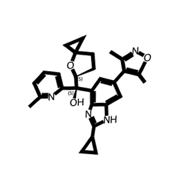 Cc1cccc([C@@](O)(c2cc(-c3c(C)noc3C)cc3[nH]c(C4CC4)nc23)[C@@H]2CCC3(CC3)O2)n1